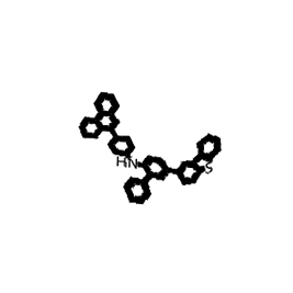 c1ccc(-c2cc(-c3ccc4sc5ccccc5c4c3)ccc2Nc2ccc(-c3cc4ccccc4c4ccccc34)cc2)cc1